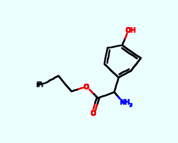 CC(C)CCOC(=O)C(N)c1ccc(O)cc1